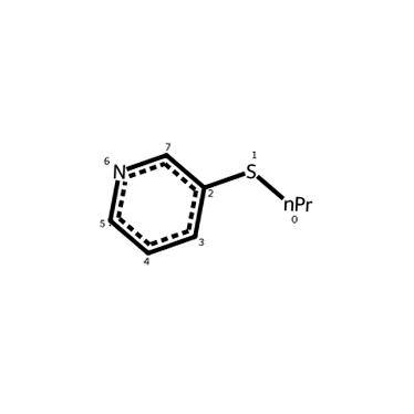 CCCSc1cc[c]nc1